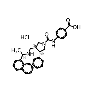 C[C@@H](NC[C@H]1CN(C(=O)Nc2ccc(C(=O)O)cc2)C[C@@H]1c1ccccc1)c1cccc2ccccc12.Cl